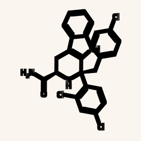 NC(=O)[C@H]1Cc2c([nH]c3ccccc23)[C@](Cc2ccc(Cl)cc2)(c2ccc(Cl)cc2Cl)N1